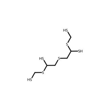 SCSC(S)CSCC(S)SCS